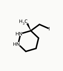 C[C@@]1(CI)CCCNN1